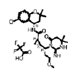 COCC[C@H]([C@@H]1C[C@H]1C(=O)N[C@H]1CC(C)(C)Oc2ccc(Cl)cc21)N1C(=N)NC(C)(C)CC1=O.O=C(O)C(F)(F)F